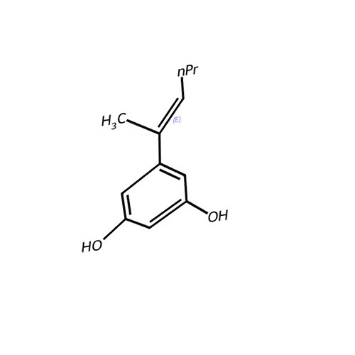 CCC/C=C(\C)c1cc(O)cc(O)c1